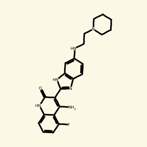 Nc1c(-c2nc3ccc(NCCN4CCCCC4)cc3[nH]2)c(=O)[nH]c2cccc(F)c12